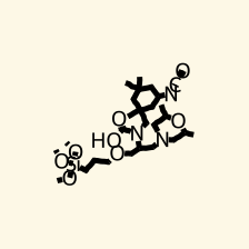 CO[Si](CCCOCC(CN1CC(C)OC(C)C1)N(CC1(C)CC(N=C=O)CC(C)(C)C1)C(=O)O)(OC)OC